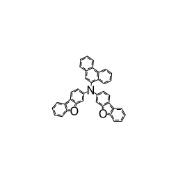 c1ccc2c(c1)cc(N(c1ccc3c(c1)oc1ccccc13)c1ccc3c(c1)oc1ccccc13)c1ccccc12